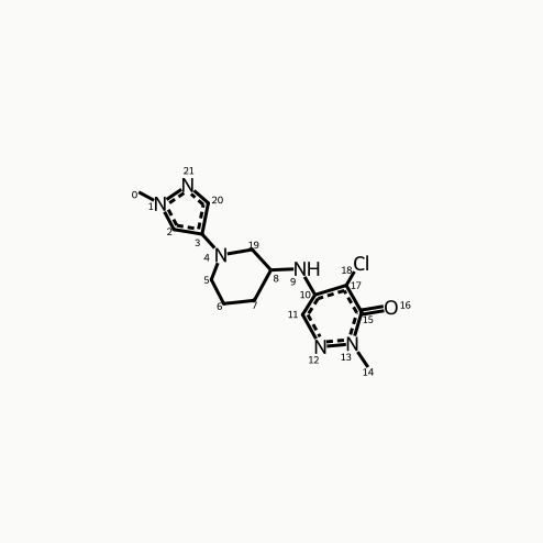 Cn1cc(N2CCCC(Nc3cnn(C)c(=O)c3Cl)C2)cn1